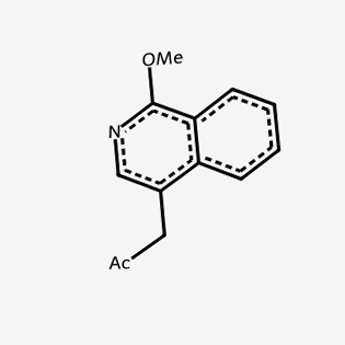 COc1ncc(CC(C)=O)c2ccccc12